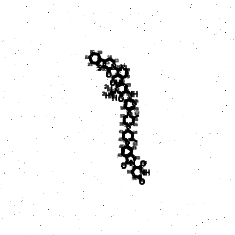 [2H]C([2H])([2H])n1cc(-c2ccnc(N3CCc4c(sc5c4CCCC5)C3=O)c2CO)cc(Nc2ccc(N3CCN([C@@H]4CCN(c5ccc6c(c5)CN(C5CCC(=O)NC5=O)C6=O)[C@H](C)C4)C[C@@H]3C)cn2)c1=O